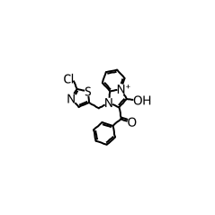 O=C(c1ccccc1)c1c(O)[n+]2ccccc2n1Cc1cnc(Cl)s1